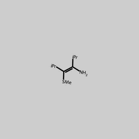 CS/C(=C(\N)C(C)C)C(C)C